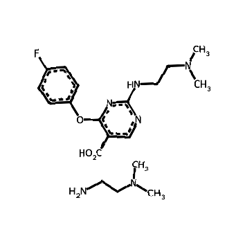 CN(C)CCN.CN(C)CCNc1ncc(C(=O)O)c(Oc2ccc(F)cc2)n1